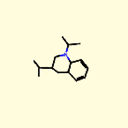 CC(C)C1CC2C=CC=CC2N(C(C)C)C1